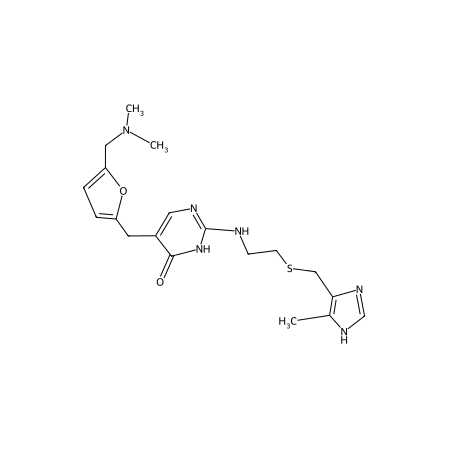 Cc1[nH]cnc1CSCCNc1ncc(Cc2ccc(CN(C)C)o2)c(=O)[nH]1